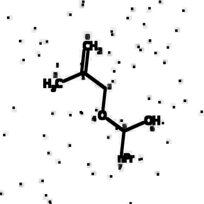 C=C(C)COC(O)CCC